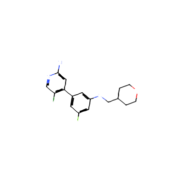 Nc1cc(-c2cc(F)cc(NCC3CCOCC3)c2)c(Cl)cn1